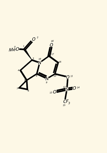 COC(=O)[C@@H]1CC2(CC2)c2nc(OS(=O)(=O)C(F)(F)F)cc(=O)n21